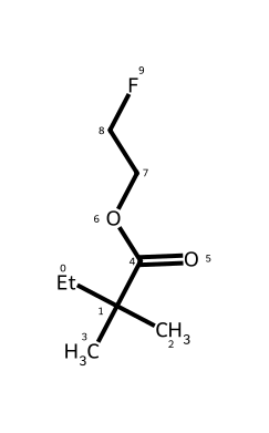 CCC(C)(C)C(=O)OCCF